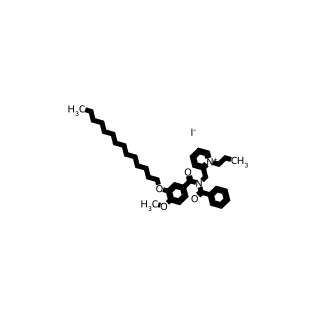 CCCCCCCCCCCCCCOc1cc(C(=O)N(Cc2cccc[n+]2CCC)C(=O)c2ccccc2)ccc1OC.[I-]